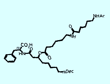 CCCCCCCCCCCCCCCC(CC(=O)N[C@@H](Cc1ccccc1)C(=O)O)OC(=O)CCCCCNC(=O)CCCCCNC(C)=O